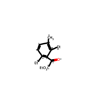 CCOC(=O)C(=O)c1c(CC)ccc(C)c1CC